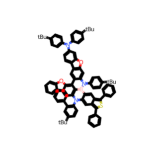 CC(C)(C)c1ccc(N2B3c4cc5c(-c6ccccc6)sc(-c6ccccc6)c5cc4N(c4ccc(C(C)(C)C)cc4-c4ccccc4)c4cc5c(oc6ccccc65)c(c43)-c3cc4c(cc32)oc2cc(N(c3ccc(C(C)(C)C)cc3)c3ccc(C(C)(C)C)cc3)ccc24)cc1